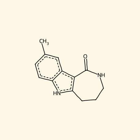 Cc1ccc2[nH]c3c(c2c1)C(=O)NCCC3